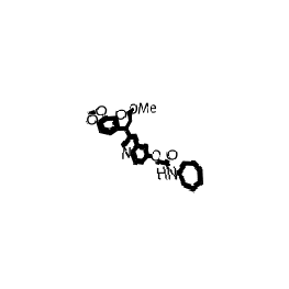 COC(=O)CC(c1ccc2c(c1)OCO2)c1cnc2ccc(OCC(=O)NC3CCCCCC3)cc2c1